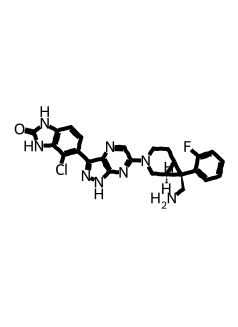 NC[C@]1(c2ccccc2F)[C@@H]2CCN(c3cnc4c(-c5ccc6[nH]c(=O)[nH]c6c5Cl)n[nH]c4n3)C[C@@H]21